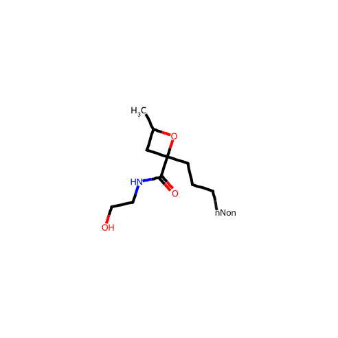 CCCCCCCCCCCCC1(C(=O)NCCO)CC(C)O1